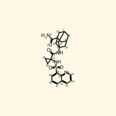 NC(=O)C12CC3CC(CC(NC(=O)C4(NS(=O)(=O)c5cccc6cccnc56)CC4)(C3)C1)C2